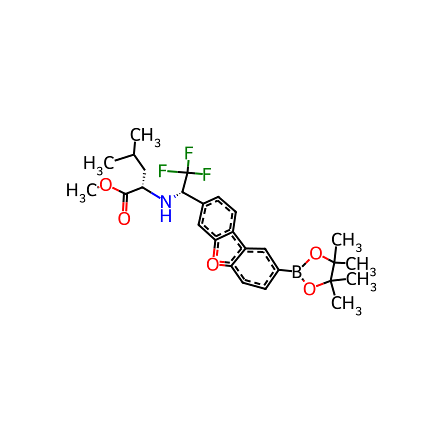 COC(=O)[C@H](CC(C)C)N[C@@H](c1ccc2c(c1)oc1ccc(B3OC(C)(C)C(C)(C)O3)cc12)C(F)(F)F